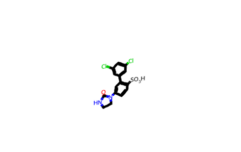 O=C1NCCN1c1ccc(S(=O)(=O)O)c(-c2cc(Cl)cc(Cl)c2)c1